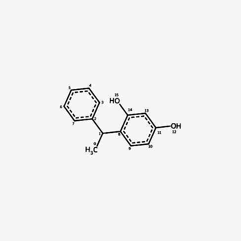 CC(c1ccccc1)c1ccc(O)cc1O